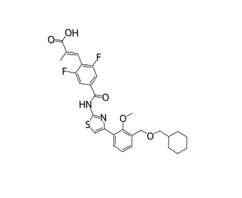 COc1c(COCC2CCCCC2)cccc1-c1csc(NC(=O)c2cc(F)c(/C=C(\C)C(=O)O)c(F)c2)n1